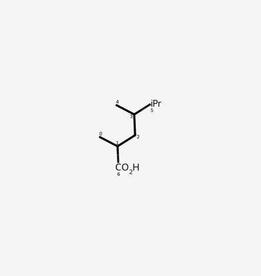 CC(CC(C)C(C)C)C(=O)O